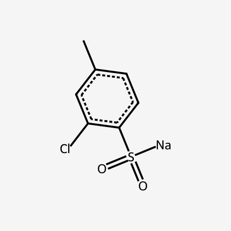 Cc1ccc([S](=O)(=O)[Na])c(Cl)c1